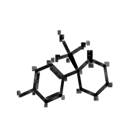 Cc1ccc([C@@]2(C(F)(F)F)CCCCN2)cc1